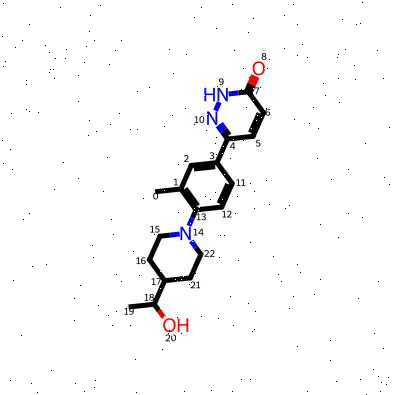 Cc1cc(-c2ccc(=O)[nH]n2)ccc1N1CCC(C(C)O)CC1